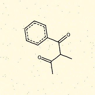 CC(=O)C(C)C(=O)c1cc[c]cc1